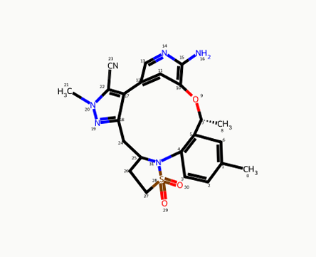 Cc1ccc2c(c1)[C@@H](C)Oc1cc(cnc1N)-c1c(nn(C)c1C#N)CC1CCS(=O)(=O)N21